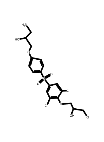 NCC(O)COc1ccc(S(=O)(=O)c2cc(Cl)c(OCC(O)CCl)c(Cl)c2)cc1